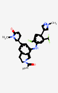 CNC(=O)N1CCc2cc(-c3ccc(=O)n(C)c3)cc(Nc3cc(C(F)F)c(-c4cnn(C)c4)cc3F)c2C1